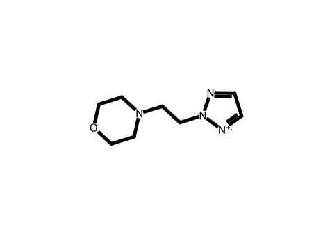 C1=NN(CCN2CCOCC2)[N+]=C1